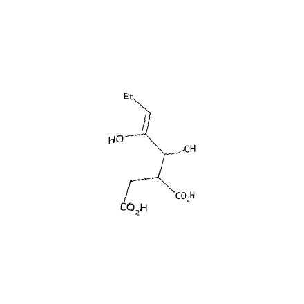 CC/C=C(\O)C(O)C(CC(=O)O)C(=O)O